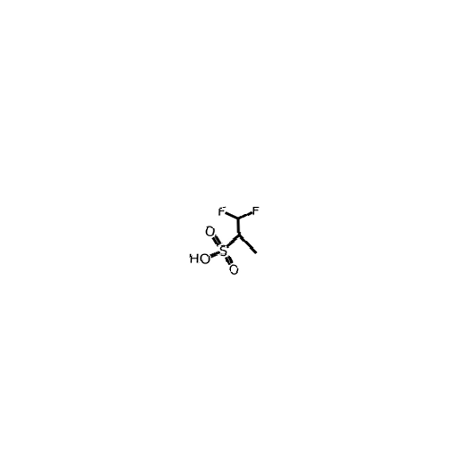 CC(C(F)F)S(=O)(=O)O